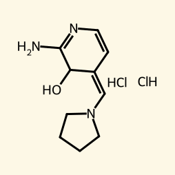 Cl.Cl.NC1=NC=CC(=CN2CCCC2)C1O